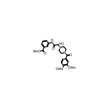 COC(=O)c1cccc(NC(=O)CN2CCN(C(=O)c3ccc(OC)c(OC)c3)CC2)c1.Cl